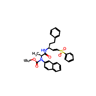 C[C@@H](C(=O)N[C@H](/C=C/S(=O)(=O)c1ccccc1)CCc1ccccc1)N(C(=O)OC(C)(C)C)c1ccc2ccccc2c1